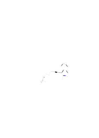 CC(C)(CCCC#Cc1c(CO)[n+]([O-])cc2cc(F)ccc12)[Si](C)(C)O